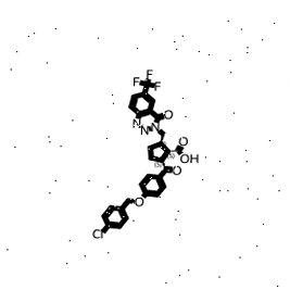 O=C(O)[C@H]1[C@H](Cn2nnc3ccc(C(F)(F)F)cc3c2=O)CC[C@@H]1C(=O)c1ccc(OCc2ccc(Cl)cc2)cc1